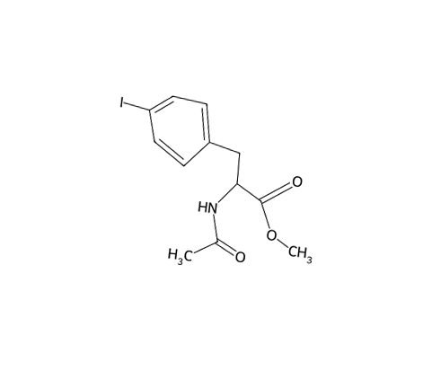 COC(=O)C(Cc1ccc(I)cc1)NC(C)=O